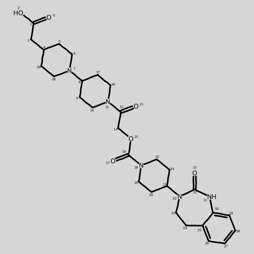 O=C(O)CC1CCN(C2CCN(C(=O)COC(=O)N3CCC(N4CCc5ccccc5NC4=O)CC3)CC2)CC1